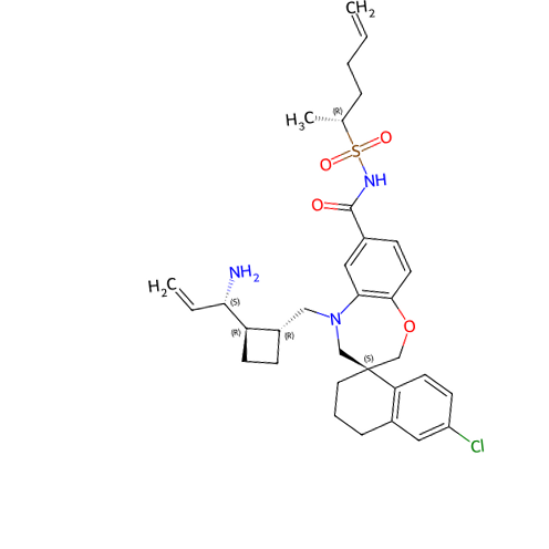 C=CCC[C@@H](C)S(=O)(=O)NC(=O)c1ccc2c(c1)N(C[C@@H]1CC[C@H]1[C@@H](N)C=C)C[C@@]1(CCCc3cc(Cl)ccc31)CO2